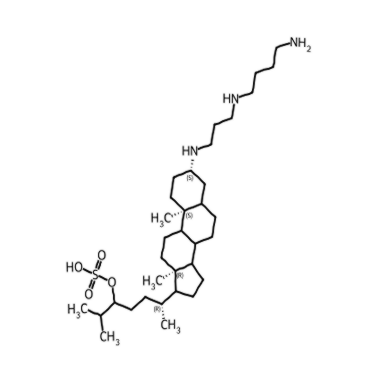 CC(C)C(CC[C@@H](C)C1CCC2C3CCC4C[C@@H](NCCCNCCCCN)CC[C@]4(C)C3CC[C@@]21C)OS(=O)(=O)O